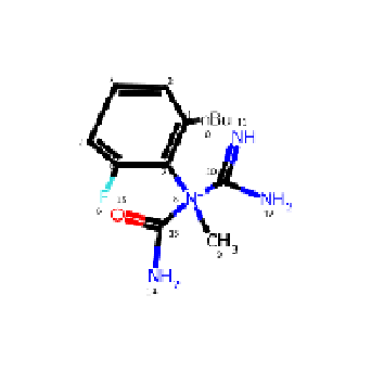 CCCCc1cccc(F)c1[N+](C)(C(=N)N)C(N)=O